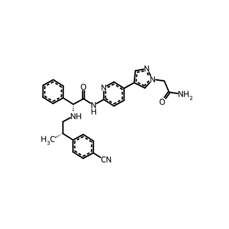 C[C@H](CN[C@@H](C(=O)Nc1ccc(-c2cnn(CC(N)=O)c2)cn1)c1ccccc1)c1ccc(C#N)cc1